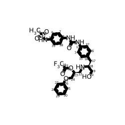 CS(=O)(=O)Nc1ccc(NC(=O)Nc2ccc(C[C@@H](CO)NC[C@@H](COc3ccccc3)OC(=O)C(F)(F)F)cc2)cc1